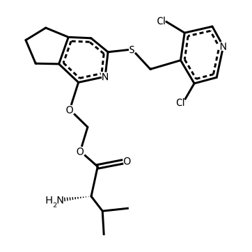 CC(C)[C@H](N)C(=O)OCOc1nc(SCc2c(Cl)cncc2Cl)cc2c1CCC2